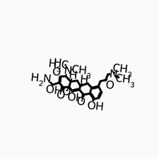 CN(C)CC(=O)Cc1ccc(O)c2c1C[C@H]1C[C@H]3[C@H](N(C)C)C(O)=C(C(N)=O)C(=O)[C@@]3(O)C(O)=C1C2=O